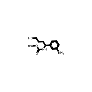 CC(C)(C)OC(=O)NC(CCCO)c1cccc(N)c1